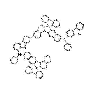 CC1(C)c2ccccc2-c2ccc(N(c3ccccc3)c3ccc4cc5c(cc4c3)C3(c4ccccc4-c4ccccc43)c3ccc4cc(-c6ccc7c(c6)sc6c(N(c8ccccc8)c8ccc9cc%10c(cc9c8)C8(c9ccccc9-c9ccccc98)c8ccc9ccccc9c8-%10)cccc67)ccc4c3-5)cc21